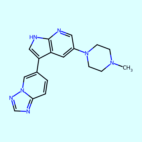 CN1CCN(c2cnc3[nH]cc(-c4ccc5ncnn5c4)c3c2)CC1